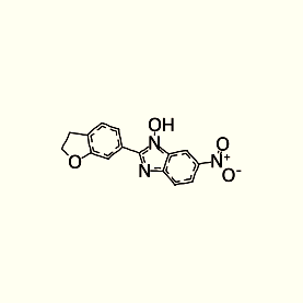 O=[N+]([O-])c1ccc2nc(-c3ccc4c(c3)OCC4)n(O)c2c1